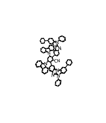 N#Cc1c(-c2ccc3nc4n(-c5ccccc5)c5ccc(-c6ccccc6)cc5n4c3c2)c(-n2c3ccccc3c3ccccc32)cc(-n2c3ccccc3c3ccccc32)c1-c1ccc2nc3n(-c4ccccc4)c4ccc(-c5ccccc5)cc4n3c2c1